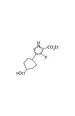 CCCCCCCCC1CCC(c2c[nH]c(C(=O)OCC)c2F)CC1